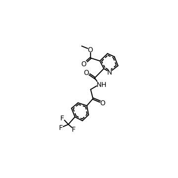 COC(=O)c1cccnc1C(=O)NCC(=O)c1ccc(C(F)(F)F)cc1